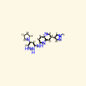 Cn1cc(-c2cnc3ccc(NC4=CC(N5CCCC5)=CNN4)nc3c2)cn1